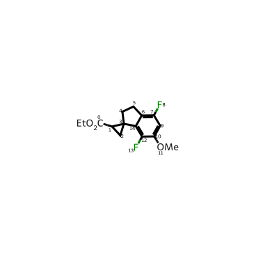 CCOC(=O)C1CC12CCc1c(F)cc(OC)c(F)c12